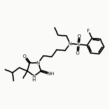 CCCN(CCCCN1C(=N)NC(C)(CC(C)C)C1=O)S(=O)(=O)c1ccccc1F